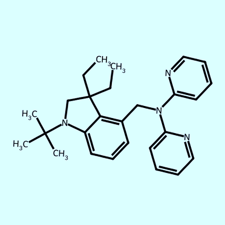 CCC1(CC)CN(C(C)(C)C)c2cccc(CN(c3ccccn3)c3ccccn3)c21